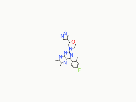 Cc1cc(F)ccc1-c1nc(N2CCOC(c3cnn(C)c3)C2)nc2nc(C)c(C)nc12